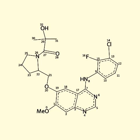 COc1cc2ncnc(Nc3cccc(Cl)c3F)c2cc1OCC1CCCN1C(=O)C(C)(C)O